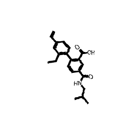 C=Cc1ccc(-c2ccc(C(=O)NCC(C)C)cc2C(=O)O)c(CC)c1